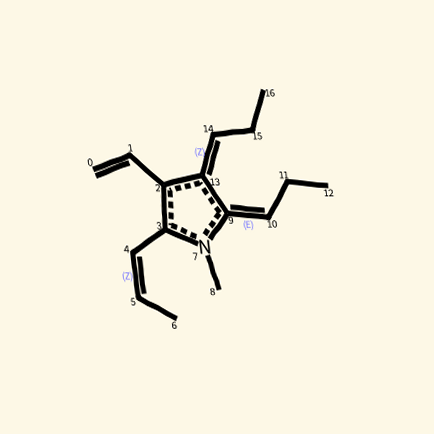 C=Cc1c(/C=C\C)n(C)c(=C/CC)/c1=C\CC